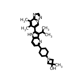 Cc1c(-c2[nH]c3ccc(C4CCC(N5CC(C)(O)C5)CC4)nc3c2C(C)C)cn2ncnc2c1C